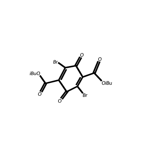 CC(C)COC(=O)C1=C(Br)C(=O)C(C(=O)OCC(C)C)=C(Br)C1=O